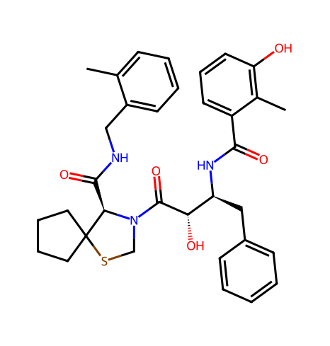 Cc1ccccc1CNC(=O)[C@H]1N(C(=O)[C@@H](O)[C@H](Cc2ccccc2)NC(=O)c2cccc(O)c2C)CSC12CCCC2